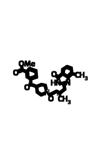 COC(=O)c1cccc(C(=O)C2CCN(C(=O)C[C@@H](C)Cc3nc4c(C)cccc4c(=O)[nH]3)CC2)c1